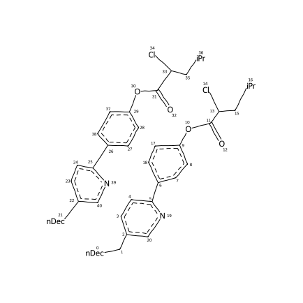 CCCCCCCCCCCc1ccc(-c2ccc(OC(=O)C(Cl)CC(C)C)cc2)nc1.CCCCCCCCCCc1ccc(-c2ccc(OC(=O)C(Cl)CC(C)C)cc2)nc1